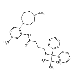 CN1CCCN(c2ccc(N)cc2NC(=O)CCCO[Si](c2ccccc2)(c2ccccc2)C(C)(C)C)CC1